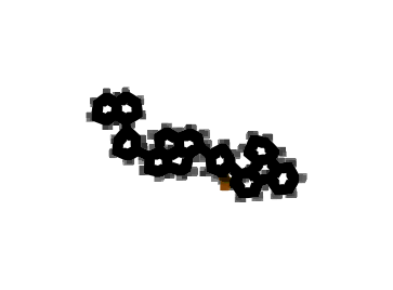 c1cc(-c2cccc3ccccc23)cc(-c2ccc3ccc4c(-c5ccc6c(c5)sc5ccc7c8ccccc8c8ccccc8c7c56)ccc5ccc2c3c54)c1